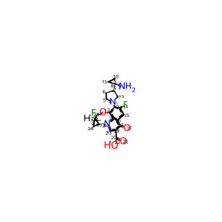 COc1c(N2CC[C@@H](C3(N)CC3)C2)c(F)cc2c(=O)c(C(=O)O)cn([C@@H]3C[C@@H]3F)c12